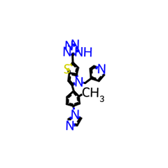 Cc1cc(-n2ccnc2)ccc1-c1cc2sc(-c3nnn[nH]3)cc2n1Cc1ccncc1